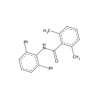 Cc1cccc(C)c1C(=O)Nc1c(C(C)C)cccc1C(C)C